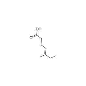 CCC(C)=CCCC(=O)O